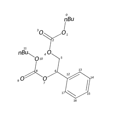 CCCCOC(=O)OCC(OC(=O)OCCCC)c1ccccc1